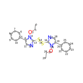 CCOn1c(-c2ccccc2)cnc1SSc1ncc(-c2ccccc2)n1OCC